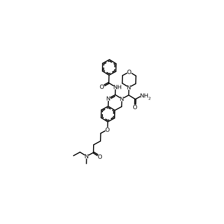 CCN(C)C(=O)CCCOc1ccc2c(c1)CN(C(C(N)=O)N1CCOCC1)C(NC(=O)c1ccccc1)=N2